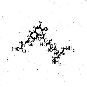 CC(=O)O.CC(=O)O.CC(=O)O.CC(=O)O.CC(=O)O.Cc1cc2ccccc2oc1=O.NCCNCCN